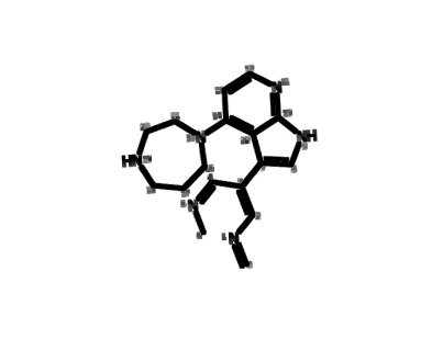 C=N/C=C(\C=N/C)c1c[nH]c2nccc(N3CCCNCC3)c12